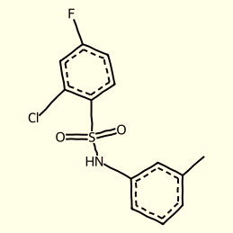 Cc1cccc(NS(=O)(=O)c2ccc(F)cc2Cl)c1